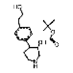 CC(C)(C)OC=O.OCCc1ccc(C2CCNCC2O)cc1